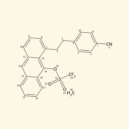 N#Cc1ccc(CCc2cccc3cc4ccccc4c(OS(=O)(=O)C(F)(F)F)c23)cc1.S